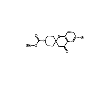 CC(C)(C)OC(=O)N1CCC2(CC1)CC(=O)c1cc(Br)ccc1S2